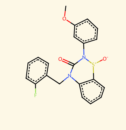 COc1cccc(N2C(=O)N(Cc3ccccc3F)c3ccccc3[S+]2[O-])c1